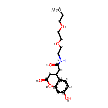 COCCOCCOCCNC(=O)CC1CC(=O)Oc2cc(O)ccc21